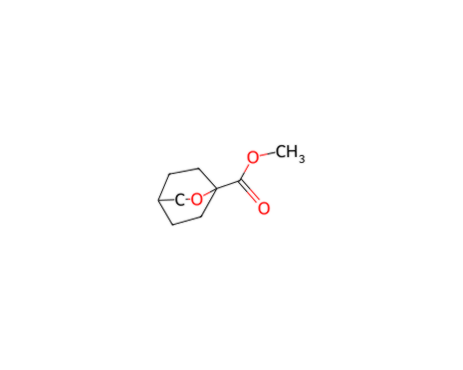 COC(=O)C12CCC(CC1)CO2